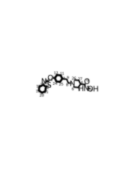 O=C(NO)C1CCN(CCc2ccc(Oc3nc4ccccc4s3)cc2)CC1